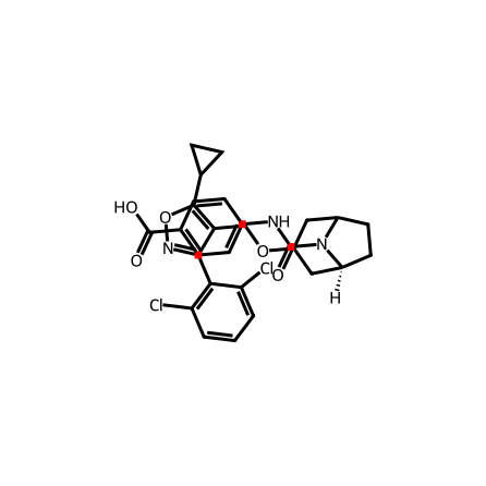 O=C(O)c1ccc(NC(=O)N2C3CC[C@H]2CC(OCc2c(-c4c(Cl)cccc4Cl)noc2C2CC2)C3)cc1